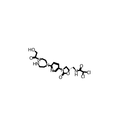 O=C(NC[C@H]1CN(c2ccc(N3CCNN(C(=O)CO)CC3)nc2)C(=O)O1)C(Cl)Cl